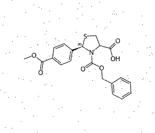 COC(=O)c1ccc([C@H]2SCC(C(=O)O)N2C(=O)OCc2ccccc2)cc1